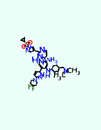 CN(C)CC1CCC(NC2=CC(N)(c3ccnc(-c4cnn(S(=O)(=O)C5CC5)c4)n3)NC=C2c2ccc(N3CCC(F)(F)CC3)nn2)CC1